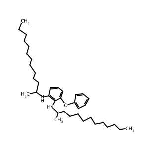 CCCCCCCCCCCC(C)Nc1cccc(Oc2ccccc2)c1NC(C)CCCCCCCCCCC